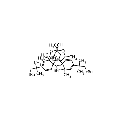 CCCC1(C)C=C(C(C)(C)CC(C)(C)C)C=CC1(OC1(N2CC(C)OC(C)C2)C=CC(C(C)(C)CC(C)(C)C)=CC1(C)CCC)N1CC(C)OC(C)C1